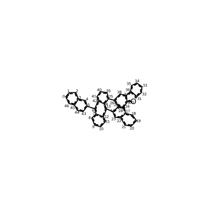 c1ccc2cc(-c3c4ccccc4c(-c4ccc5ccccc5c4)c4c(-c5ccc6oc7ccccc7c6c5)cccc34)ccc2c1